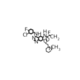 C=C(F)C(=O)Nc1cc2c(Nc3ccc(F)c(Cl)c3)ncnc2cc1OCCC1CCCCN1C